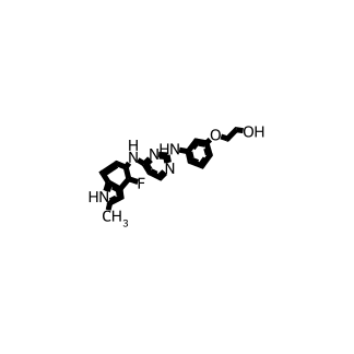 Cc1cc2c([nH]1)C=CC(Nc1ccnc(Nc3cccc(OCCO)c3)n1)C2F